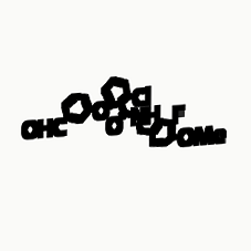 COc1ccc(CNC(=O)c2c(Cl)cccc2Oc2cccc(C=O)c2)cc1F